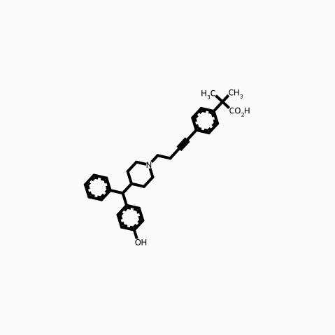 CC(C)(C(=O)O)c1ccc(C#CCCN2CCC(C(c3ccccc3)c3ccc(O)cc3)CC2)cc1